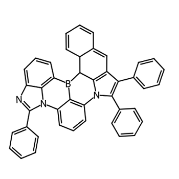 C1=CC2=Cc3c(-c4ccccc4)c(-c4ccccc4)n4c3C(B3c5c-4cccc5-n4c(-c5ccccc5)nc5cccc3c54)C2C=C1